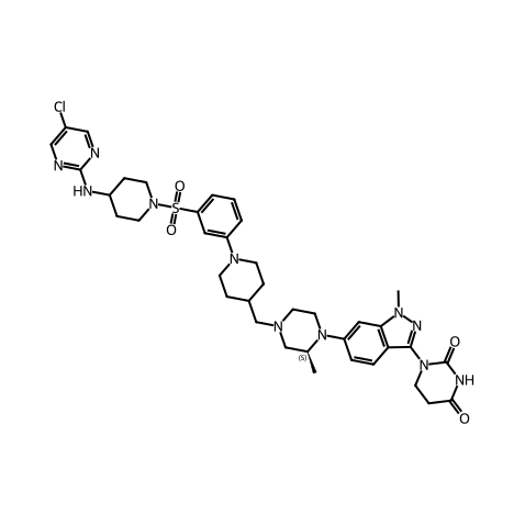 C[C@H]1CN(CC2CCN(c3cccc(S(=O)(=O)N4CCC(Nc5ncc(Cl)cn5)CC4)c3)CC2)CCN1c1ccc2c(N3CCC(=O)NC3=O)nn(C)c2c1